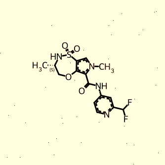 C[C@H]1COc2c(cn(C)c2C(=O)Nc2ccnc(C(F)F)c2)S(=O)(=O)N1